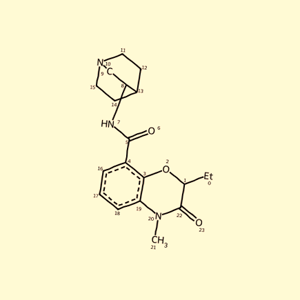 CCC1Oc2c(C(=O)NC3CN4CCC3CC4)cccc2N(C)C1=O